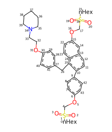 CCCCCCS(=O)(=O)COc1ccc(-c2ccc3cc(OCS(=O)(=O)CCCCCC)ccc3c2Cc2ccc(OCCN3CCCCC3)cc2)cc1